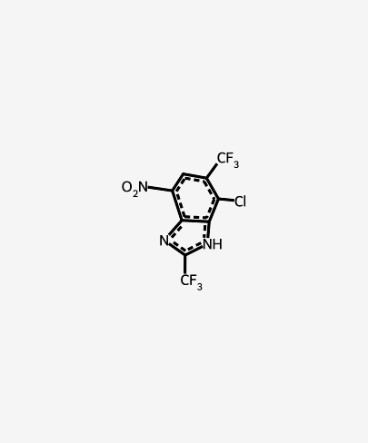 O=[N+]([O-])c1cc(C(F)(F)F)c(Cl)c2[nH]c(C(F)(F)F)nc12